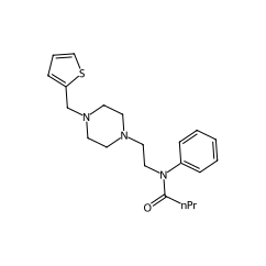 CCCC(=O)N(CCN1CCN(Cc2cccs2)CC1)c1ccccc1